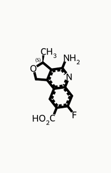 C[C@@H]1OCc2c1c(N)nc1cc(F)c(C(=O)O)cc21